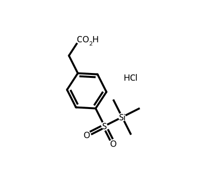 C[Si](C)(C)S(=O)(=O)c1ccc(CC(=O)O)cc1.Cl